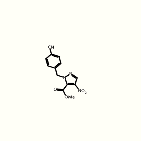 COC(=O)c1c([N+](=O)[O-])cnn1Cc1ccc(C#N)cc1